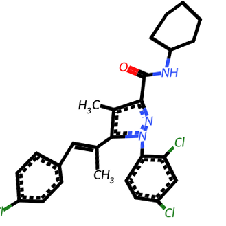 CC(=Cc1ccc(Cl)cc1)c1c(C)c(C(=O)NC2CCCCC2)nn1-c1ccc(Cl)cc1Cl